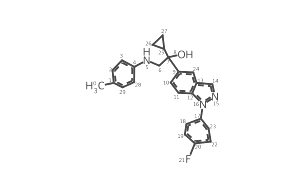 Cc1ccc(NCC(O)(c2ccc3c(cnn3-c3ccc(F)cc3)c2)C2CC2)cc1